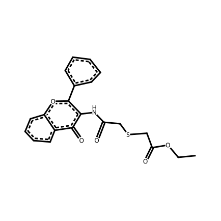 CCOC(=O)CSCC(=O)Nc1c(-c2ccccc2)oc2ccccc2c1=O